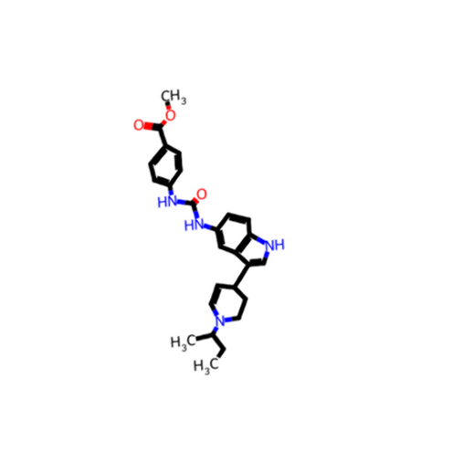 CCC(C)N1C=CC(c2c[nH]c3ccc(NC(=O)Nc4ccc(C(=O)OC)cc4)cc23)CC1